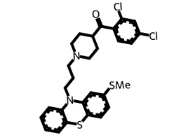 CSc1ccc2c(c1)N(CCCN1CCC(C(=O)c3ccc(Cl)cc3Cl)CC1)c1ccccc1S2